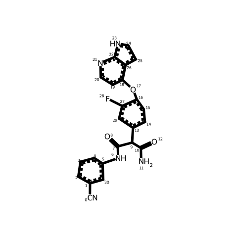 N#Cc1cccc(NC(=O)C(C(N)=O)c2ccc(Oc3ccnc4[nH]ccc34)c(F)c2)c1